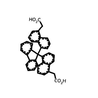 O=C(O)Cc1cccc2c(C3(c4cccc5c(CC(=O)O)cccc45)c4ccccc4-c4ccccc43)cccc12